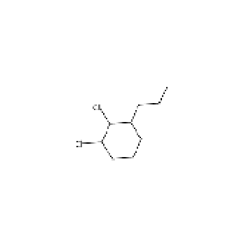 CCCC1CCCC(Cl)C1Cl